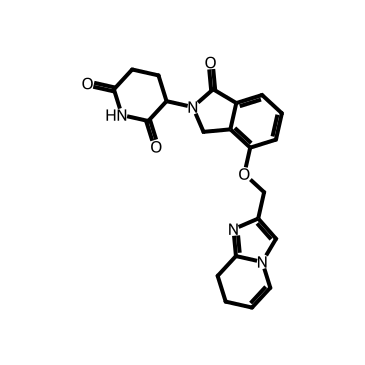 O=C1CCC(N2Cc3c(OCc4cn5c(n4)CCC=C5)cccc3C2=O)C(=O)N1